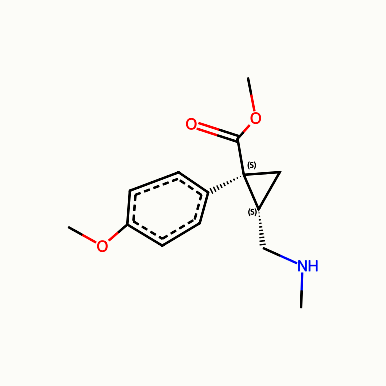 CNC[C@H]1C[C@@]1(C(=O)OC)c1ccc(OC)cc1